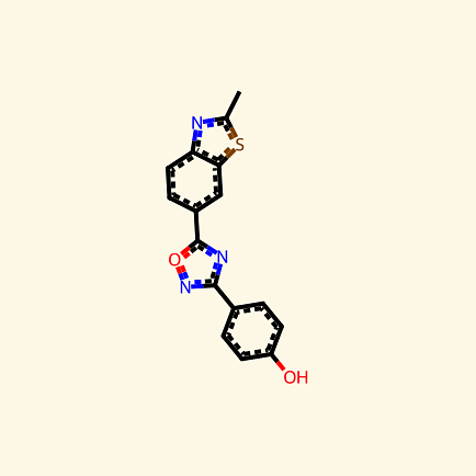 Cc1nc2ccc(-c3nc(-c4ccc(O)cc4)no3)cc2s1